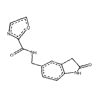 O=C1Cc2cc(CNC(=O)c3ncco3)ccc2N1